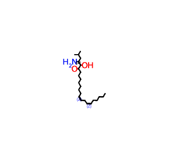 CCCCC/C=C\C/C=C\CCCCCCCC(=O)C(O)[C@@H](N)CC(C)C